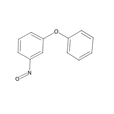 O=Nc1cccc(Oc2ccccc2)c1